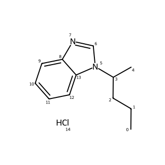 CCCC(C)n1cnc2ccccc21.Cl